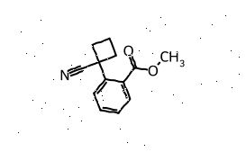 COC(=O)c1ccccc1C1(C#N)CCC1